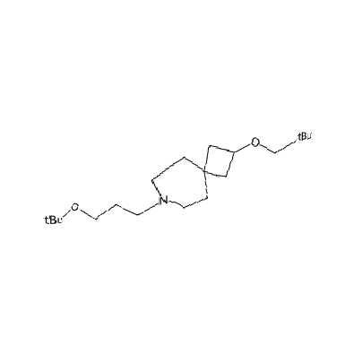 CC(C)(C)COC1CC2(CCN(CCCOC(C)(C)C)CC2)C1